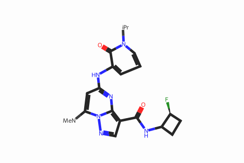 CNc1cc(Nc2cccn(C(C)C)c2=O)nc2c(C(=O)NC3CC[C@@H]3F)cnn12